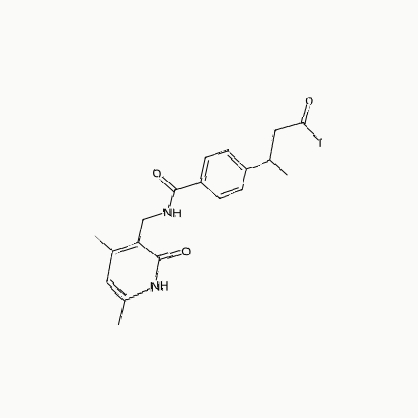 Cc1cc(C)c(CNC(=O)c2ccc(C(C)CC(=O)I)cc2)c(=O)[nH]1